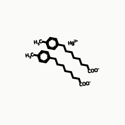 Cc1ccc(CCCCCCCC(=O)[O-])cc1.Cc1ccc(CCCCCCCC(=O)[O-])cc1.[Hg+2]